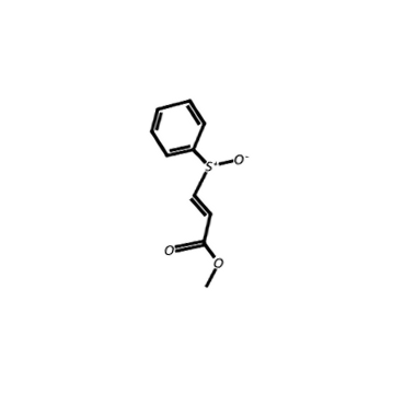 COC(=O)/C=C/[S+]([O-])c1ccccc1